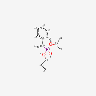 C=CCOP(=O)(OC(C)C)C(=C)c1ccccc1